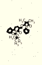 CC1=C(C)C(O/C=C2\CCC(c3ccccc3)N(C(=O)OC(C)(C)C)C2=O)N(c2ccccc2)C1=O